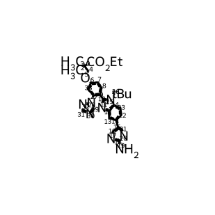 CCOC(=O)C(C)(C)COc1ccc(-c2nc3cc(-c4cnc(N)nc4)ccc3n2C(C)(C)C)c(-n2cncn2)c1